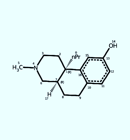 CCC[C@@]12CCN(C)C[C@@H]1CCc1ccc(O)cc12